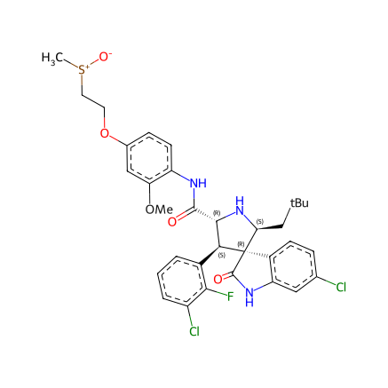 COc1cc(OCC[S+](C)[O-])ccc1NC(=O)[C@@H]1N[C@@H](CC(C)(C)C)[C@@]2(C(=O)Nc3cc(Cl)ccc32)[C@H]1c1cccc(Cl)c1F